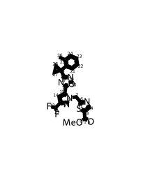 COC(=O)c1cnc(Cn2nc(C(F)F)cc2-c2nc(C3(c4ccccc4C)CC3)no2)s1